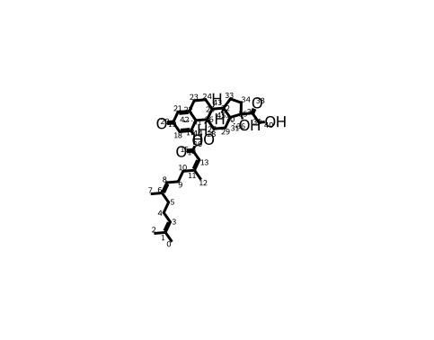 CC(C)=CCCC(C)=CCCC(C)=CC(=O)OC1=CC(=O)C=C2CC[C@@H]3[C@H]([C@@H](O)C[C@@]4(C)[C@H]3CC[C@]4(O)C(=O)CO)[C@]21C